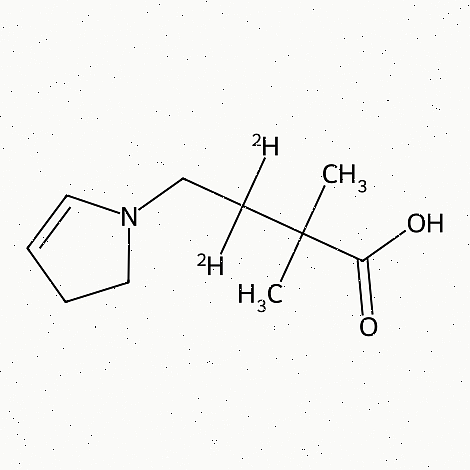 [2H]C([2H])(CN1C=CCC1)C(C)(C)C(=O)O